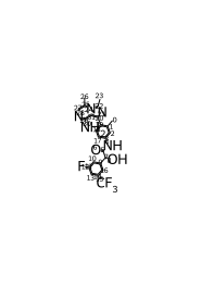 Cc1cc(NC(=O)[C@@H](O)c2cc(F)cc(C(F)(F)F)c2)ccc1-c1nc(C)n2c(C)cnc(N)c12